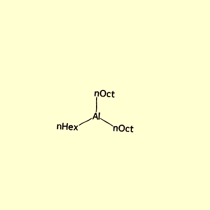 CCCCCCC[CH2][Al]([CH2]CCCCC)[CH2]CCCCCCC